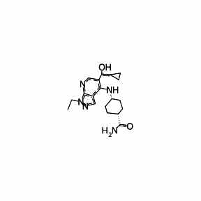 CCn1ncc2c(N[C@H]3CC[C@@H](C(N)=O)CC3)c(C(O)=C3CC3)cnc21